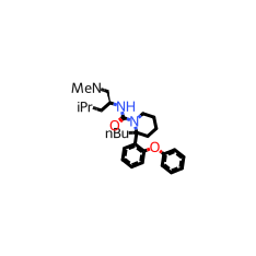 CCCCC1(c2ccccc2Oc2ccccc2)CCCCN1C(=O)N[C@H](CNC)CC(C)C